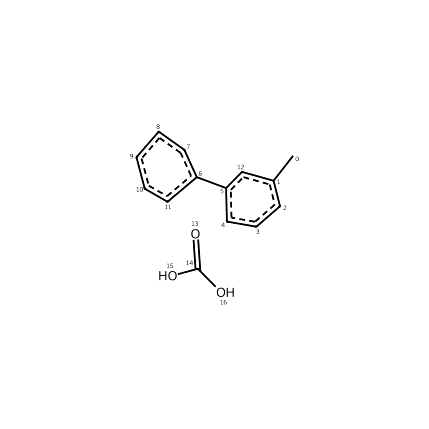 Cc1cccc(-c2ccccc2)c1.O=C(O)O